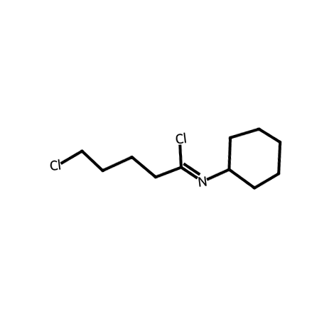 ClCCCCC(Cl)=NC1CCCCC1